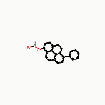 OBOc1ccc2ccc3c(-c4ccccc4)ccc4ccc1c2c43